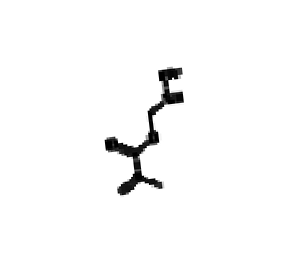 C=C(C)C(=O)OCNCCC